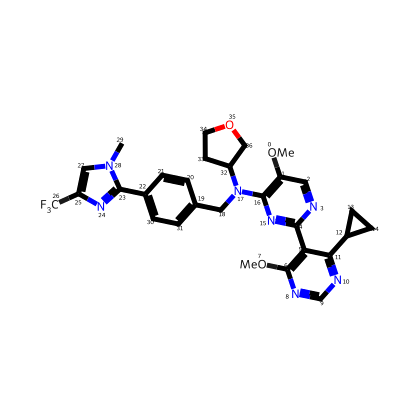 COc1cnc(-c2c(OC)ncnc2C2CC2)nc1N(Cc1ccc(-c2nc(C(F)(F)F)cn2C)cc1)C1CCOC1